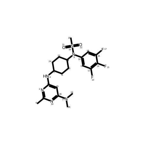 Cc1nc(NC2CCC(N(c3cc(F)c(F)c(F)c3)S(C)(=O)=O)CC2)cc(N(C)C)n1